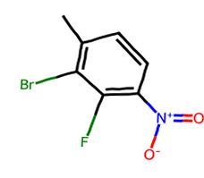 Cc1ccc([N+](=O)[O-])c(F)c1Br